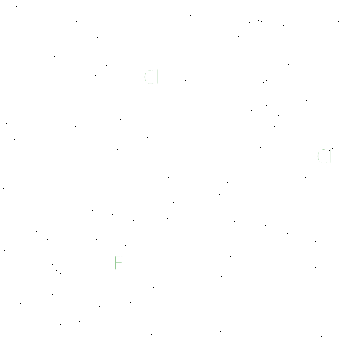 Fc1ccccc1-c1ccc(Cl)cc1Cl